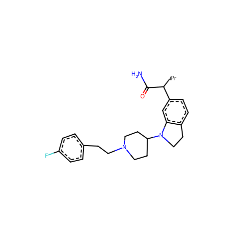 CC(C)C(C(N)=O)c1ccc2c(c1)N(C1CCN(CCc3ccc(F)cc3)CC1)CC2